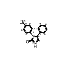 O=c1[nH]cc(-c2ccccc2)n1-c1ccc(Cl)cc1